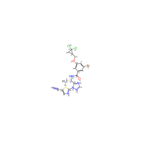 C[C@H](NC(=O)c1cc(Br)cc(OCC2CC2(Cl)Cl)c1)c1ncnn1-c1ncc(C#N)s1